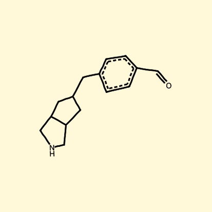 O=Cc1ccc(CC2CC3CNCC3C2)cc1